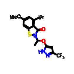 COc1cc(C(C)C)c2c(=O)n(C(C)Oc3cc(C(F)(F)F)n[nH]3)sc2c1